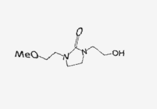 COCCN1CCN(CCO)C1=O